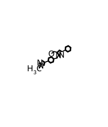 Cn1cc(-c2ccc3c(c2)OCc2cc(-c4ccccc4)nn2C3)cn1